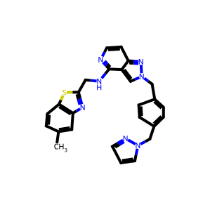 Cc1ccc2sc(CNc3nccc4nn(Cc5ccc(Cn6cccn6)cc5)cc34)nc2c1